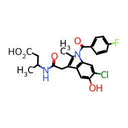 Cc1c(CC(=O)NC(C)CC(=O)O)c2cc(O)c(Cl)cc2n1C(=O)c1ccc(F)cc1